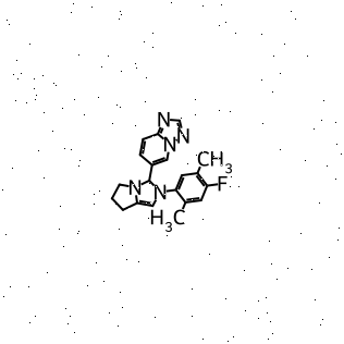 Cc1cc(N2C=C3CCCN3C2c2ccc3ncnn3c2)c(C)cc1F